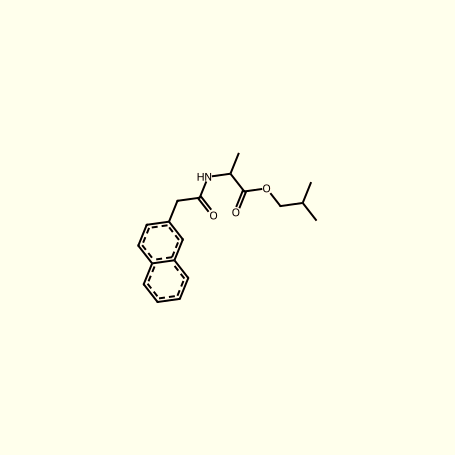 CC(C)COC(=O)C(C)NC(=O)Cc1ccc2ccccc2c1